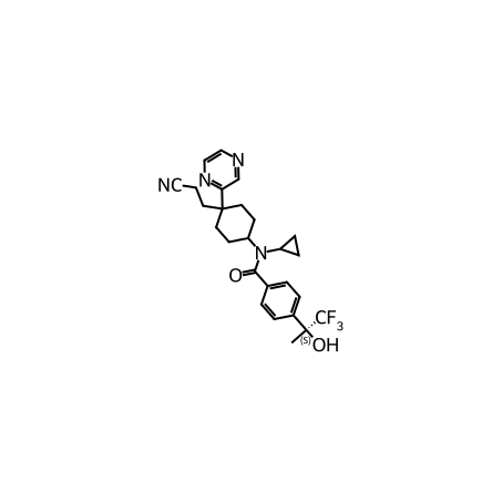 C[C@](O)(c1ccc(C(=O)N(C2CC2)C2CCC(CCC#N)(c3cnccn3)CC2)cc1)C(F)(F)F